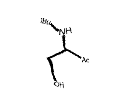 CCC(C)NC(CO)C(C)=O